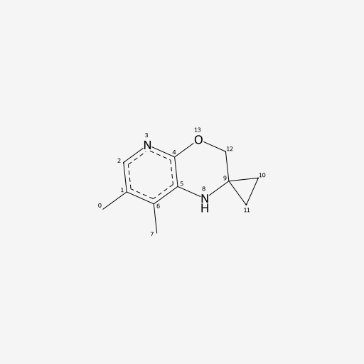 Cc1cnc2c(c1C)NC1(CC1)CO2